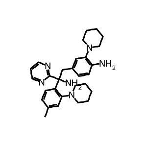 Cc1ccc(C(N)(Cc2ccc(N)c(N3CCCCC3)c2)c2ncccn2)c(N2CCCCC2)c1